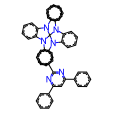 c1ccc(-c2cc(-c3ccccc3)nc(-c3cccc(N4c5ccccc5N(c5ccccc5)C45N(c4ccccc4)c4ccccc4N5c4ccccc4)c3)n2)cc1